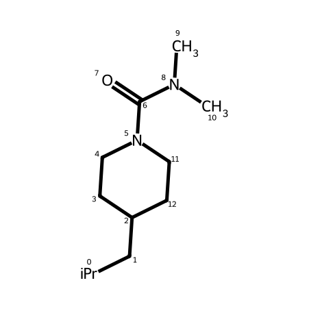 CC(C)CC1CCN(C(=O)N(C)C)CC1